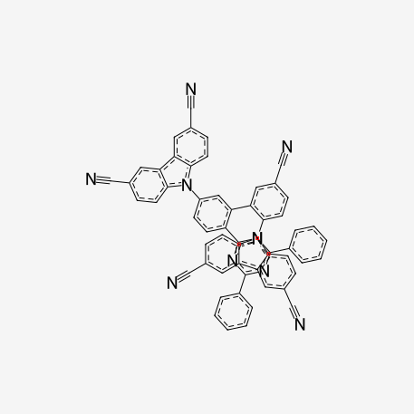 N#Cc1ccc(-n2c3ccc(C#N)cc3c3cc(C#N)ccc32)c(-c2cc(-n3c4ccc(C#N)cc4c4cc(C#N)ccc43)ccc2-c2nc(-c3ccccc3)nc(-c3ccccc3)n2)c1